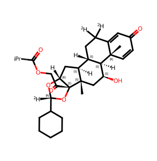 [2H]C1([2H])C[C@@H]2[C@H]([C@@H](O)C[C@@]3(C)[C@H]2C[C@H]2O[C@@]([2H])(C4CCCCC4)O[C@]23C(=O)COC(=O)C(C)C)[C@@]2(C)C=CC(=O)C=C12